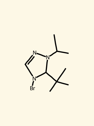 CC(C)N1N=CN(Br)C1C(C)(C)C